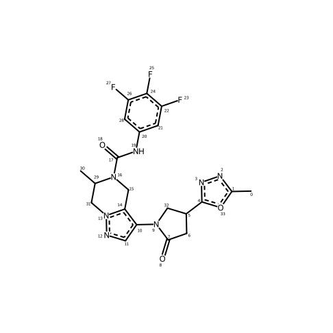 Cc1nnc(C2CC(=O)N(c3cnn4c3CN(C(=O)Nc3cc(F)c(F)c(F)c3)C(C)C4)C2)o1